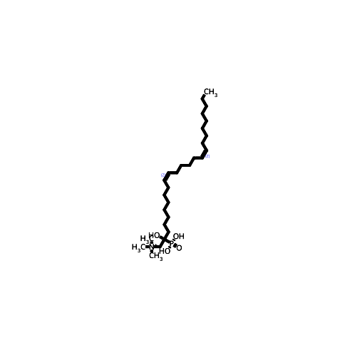 CCCCCCCC/C=C\CCCC/C=C\CCCCCCCC(O)(C[N+](C)(C)C)P(=O)(O)O